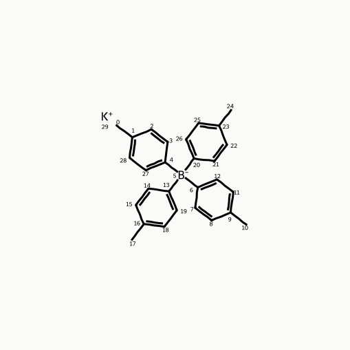 Cc1ccc([B-](c2ccc(C)cc2)(c2ccc(C)cc2)c2ccc(C)cc2)cc1.[K+]